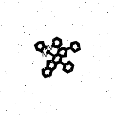 c1ccc(-c2ccc3c(-c4nc5ccccc5n4-c4ccccc4)c4cc5ccccc5cc4c(-c4ccccc4)c3c2)cc1